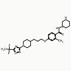 Cc1cc(OCCCC2CCN(c3noc(C(C)(F)F)n3)CC2)ccc1C(=O)N[C@@H]1CCCNC1